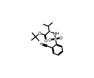 CC(C)[C@@H](NS(=O)(=O)c1ccccc1C#N)C(=O)OC(C)(C)C